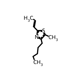 CC=Cc1nc(CCCCC)c(C)s1